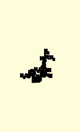 COc1ncccc1Nc1nccc(-c2cc(C#N)c3c(c2)C(C)(COCCNC(C)C)CN3)n1